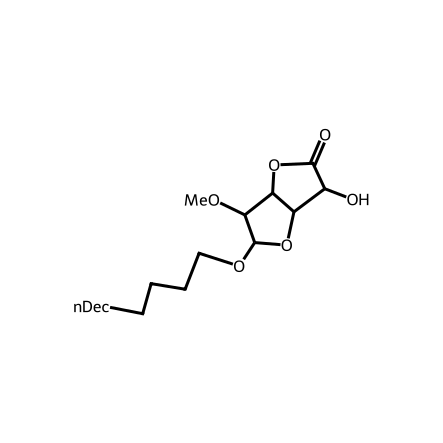 CCCCCCCCCCCCCCOC1OC2C(O)C(=O)OC2C1OC